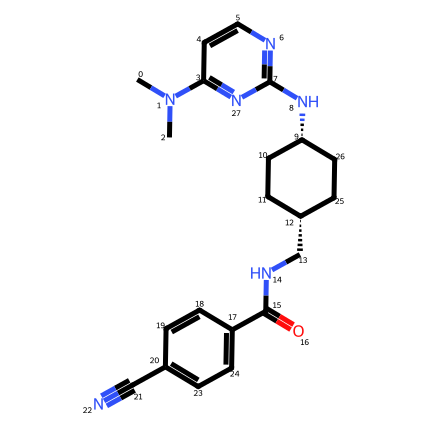 CN(C)c1ccnc(N[C@H]2CC[C@@H](CNC(=O)c3ccc(C#N)cc3)CC2)n1